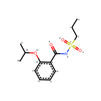 CCCS(=O)(=O)[N]C(=O)c1ccccc1OC(C)C